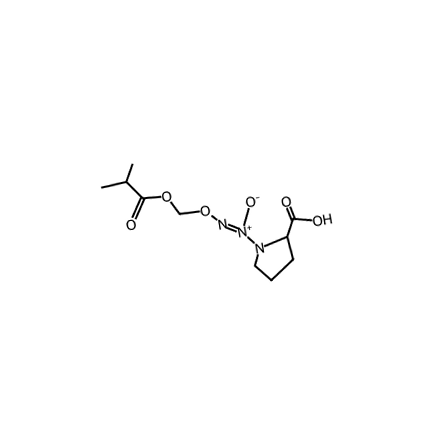 CC(C)C(=O)OCO/N=[N+](\[O-])N1CCCC1C(=O)O